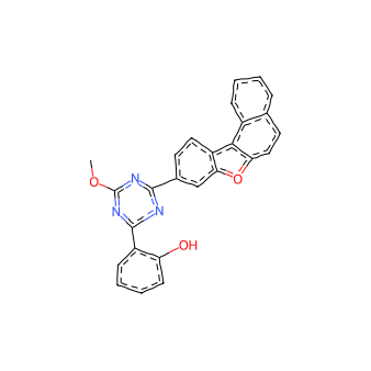 COc1nc(-c2ccc3c(c2)oc2ccc4ccccc4c23)nc(-c2ccccc2O)n1